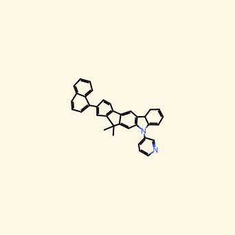 CC1(C)c2cc(-c3cccc4ccccc34)ccc2-c2cc3c(cc21)N(c1cccnc1)C1=CC=CCC13